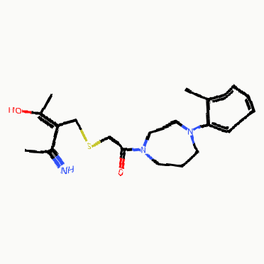 CC(=N)/C(CSCC(=O)N1CCCN(c2ccccc2C)CC1)=C(/C)O